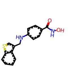 O=C(NO)c1ccc(NCc2csc3ccccc23)cc1